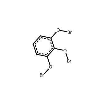 BrOc1cccc(OBr)c1OBr